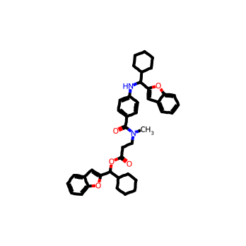 CN(CCC(=O)OC(c1cc2ccccc2o1)C1CCCCC1)C(=O)c1ccc(NC(c2cc3ccccc3o2)C2CCCCC2)cc1